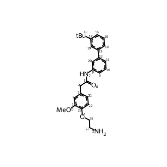 COc1cc(CC(=O)Nc2cccc(-c3cccc(C(C)(C)C)c3)c2)ccc1OCCN